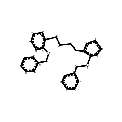 c1ccc(COc2ccccc2CCCCc2ccccc2OCc2ccccc2)cc1